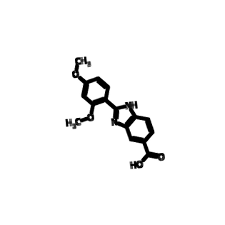 COc1ccc(-c2nc3cc(C(=O)O)ccc3[nH]2)c(OC)c1